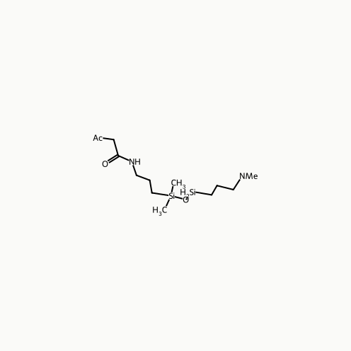 CNCCC[SiH2]O[Si](C)(C)CCCNC(=O)CC(C)=O